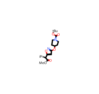 COC(=O)C(c1cc(OC2CCN(C(=O)OC(C)(C)C)CC2)no1)C(C)C